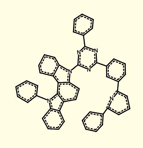 c1ccc(-c2cccc(-c3cccc(-c4nc(-c5ccccc5)nc(-n5c6ccccc6c6c5ccc5c7ccccc7n(-c7ccccc7)c56)n4)c3)n2)cc1